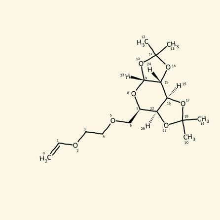 C=COCCOC[C@H]1O[C@@H]2OC(C)(C)O[C@@H]2[C@H]2OC(C)(C)O[C@H]21